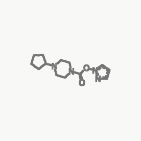 O=C(On1cccn1)N1CCN(C2CCCC2)CC1